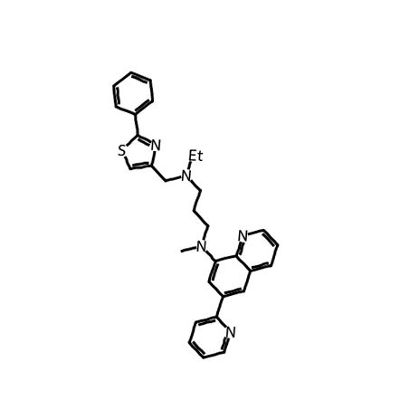 CCN(CCCN(C)c1cc(-c2ccccn2)cc2cccnc12)Cc1csc(-c2ccccc2)n1